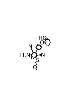 COCCSc1nc(N)c(C#N)c(-c2ccc(O[C@H]3CCCC[C@@H]3O)cc2)c1C#N